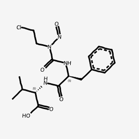 CC(C)[C@H](NC(=O)[C@H](Cc1ccccc1)NC(=O)N(CCCl)N=O)C(=O)O